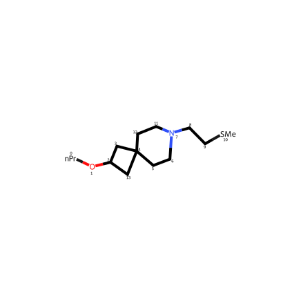 CCCOC1CC2(CCN(CCSC)CC2)C1